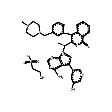 C[C@@H](c1oc(=O)c2ccccc2c1-c1cccc(CN2CCN(C)CC2)c1)n1nc(-c2cncc(O)c2)c2c(N)ncnc21.O=S(=O)(O)CCO